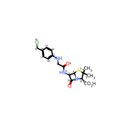 CC1(C)SC2C(NC(=O)CNc3ccc(CCl)cc3)C(=O)N2C1C(=O)O